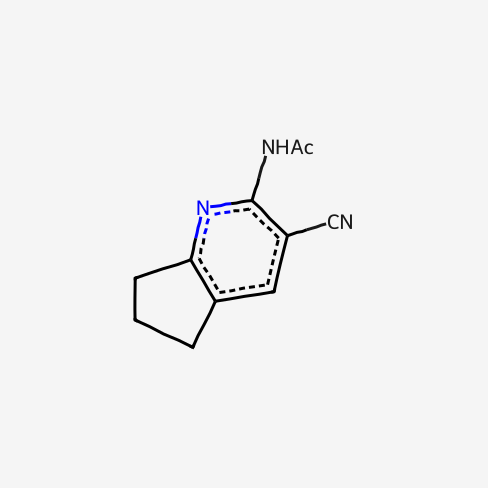 CC(=O)Nc1nc2c(cc1C#N)CCC2